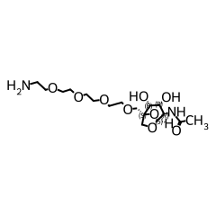 CC(=O)N[C@H]1[C@H]2OC[C@](COCCOCCOCCOCCN)(O2)[C@H](O)[C@@H]1O